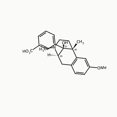 COc1ccc2c(c1)[C@@]1(C)CCN(C)[C@H](C2)[C@]1(O)c1cccc(C(=O)O)c1